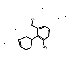 OCc1cccc(C(F)(F)F)c1C1CC=CCC1